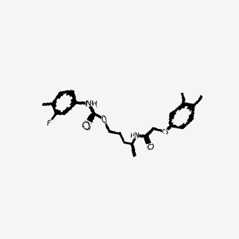 C=C(CCCOC(=O)Nc1ccc(C)c(F)c1)NC(=O)COc1ccc(C)c(C)c1